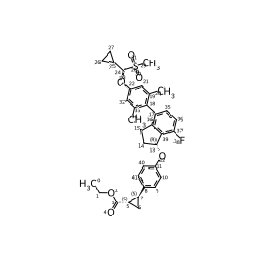 CCOC(=O)[C@H]1C[C@@H]1c1ccc(O[C@@H]2CCc3c(-c4c(C)cc(OC(C5CC5)S(C)(=O)=O)cc4C)ccc(F)c32)cc1